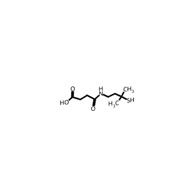 CC(C)(S)CCNC(=O)CCC(=O)O